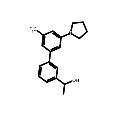 CC(O)c1cccc(-c2cc(N3CCCC3)cc(C(F)(F)F)c2)c1